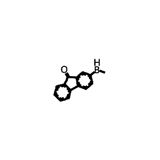 CBc1ccc2c(c1)C(=O)c1ccccc1-2